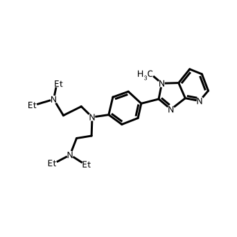 CCN(CC)CCN(CCN(CC)CC)c1ccc(-c2nc3ncccc3n2C)cc1